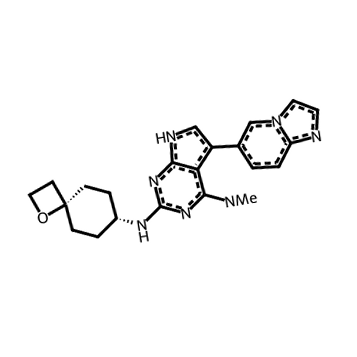 CNc1nc(N[C@H]2CC[C@]3(CCO3)CC2)nc2[nH]cc(-c3ccc4nccn4c3)c12